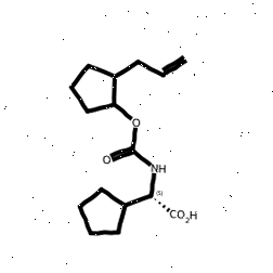 C=CCC1CCCC1OC(=O)N[C@H](C(=O)O)C1CCCC1